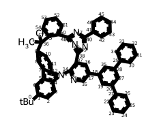 CC(C)(C)c1ccc2c(c1)c1cc3ccc1n2-c1ncc(-c2cc(-c4ccccc4)cc(-c4ccccc4)c2)cc1-c1nc(-c2ccccc2)nc(n1)-c1ccccc1C3(C)C